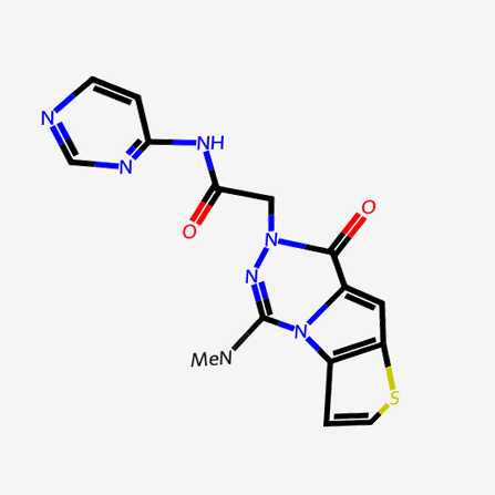 CNc1nn(CC(=O)Nc2ccncn2)c(=O)c2cc3sccc3n12